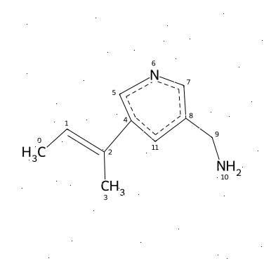 C/C=C(\C)c1cncc(CN)c1